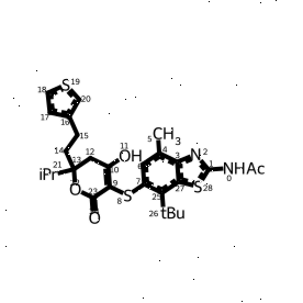 CC(=O)Nc1nc2c(C)cc(SC3=C(O)CC(CCc4ccsc4)(C(C)C)OC3=O)c(C(C)(C)C)c2s1